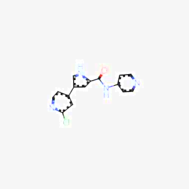 O=C(Nc1ccncc1)c1cc(-c2ccnc(Cl)c2)c[nH]1